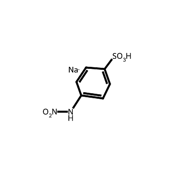 O=[N+]([O-])Nc1ccc(S(=O)(=O)O)cc1.[Na]